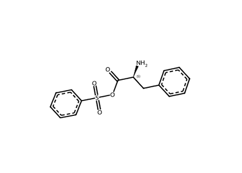 N[C@@H](Cc1ccccc1)C(=O)OS(=O)(=O)c1ccccc1